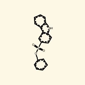 O=S(=O)(Oc1ccccc1)c1ccc2[nH]c3ccccc3c2c1